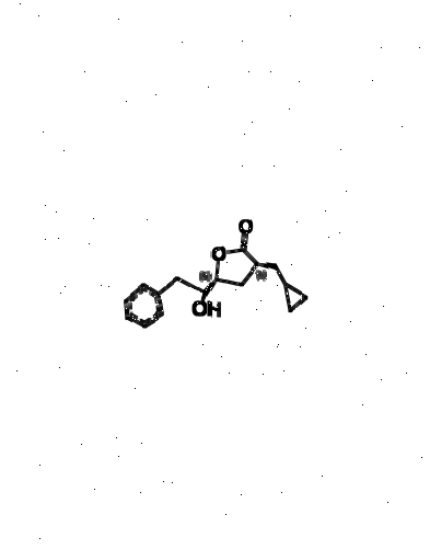 O=C1O[C@H](C(O)Cc2ccccc2)C[C@@H]1CC1CC1